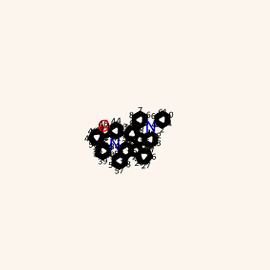 c1ccc(N(c2ccccc2)c2cccc3c2-c2ccccc2C32c3ccccc3-c3c2cc(N(c2ccccc2)c2cccc4oc5ccccc5c24)c2ccccc32)cc1